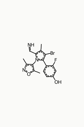 Cc1noc(C)c1-n1c(C=N)c(C)c(Br)c1-c1ccc(O)cc1F